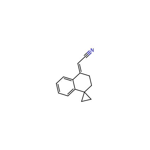 N#C/C=C1\CCC2(CC2)c2ccccc21